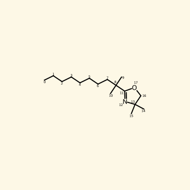 CCCCCCCCC(C)(C)C1=NC(C)(C)CO1